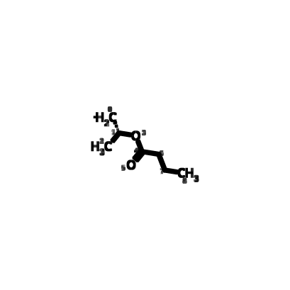 [CH2][C@@H](C)OC(=O)CCC